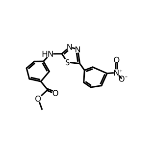 COC(=O)c1cccc(Nc2nnc(-c3cccc([N+](=O)[O-])c3)s2)c1